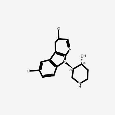 O[C@@H]1CCNC[C@H]1n1c2c(c3cc(Cl)ccc31)CC(Cl)C=N2